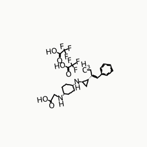 CC/C(=C\c1ccccc1)[C@@H]1C[C@H]1N[C@H]1CC[C@@H](NCC(=O)O)CC1.O=C(O)C(F)(F)F.O=C(O)C(F)(F)F